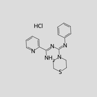 Cl.NC(=NC(=Nc1ccccc1)N1CCSCC1)c1ccccn1